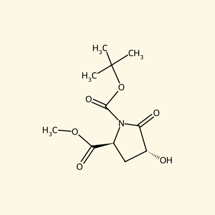 COC(=O)[C@@H]1C[C@@H](O)C(=O)N1C(=O)OC(C)(C)C